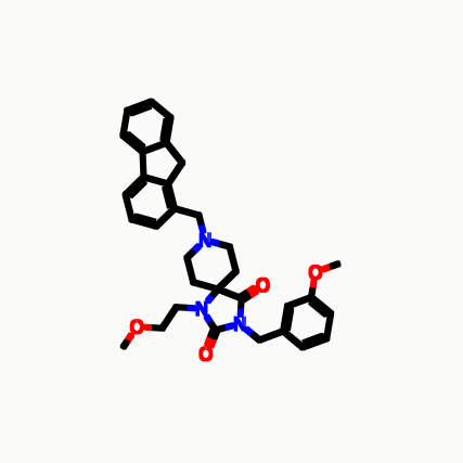 COCCN1C(=O)N(Cc2cccc(OC)c2)C(=O)C12CCN(Cc1cccc3c1Cc1ccccc1-3)CC2